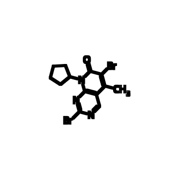 Cc1c(Br)c(=O)n(C2CCCC2)c2nc(Br)ncc12